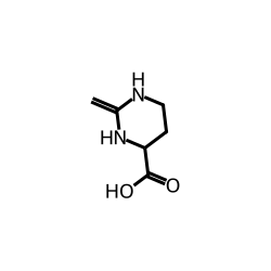 C=C1NCCC(C(=O)O)N1